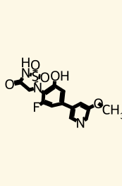 COc1cncc(-c2cc(O)c(N3CC(=O)NS3(=O)=O)c(F)c2)c1